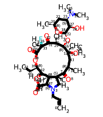 C=CCN1C[C@@]2(C)C(=O)[C@H](C)C[C@](C)(OC)[C@H](O[C@@H]3O[C@H](C)C[C@H](N(C)C)[C@H]3O)[C@@H](C)C(=O)[C@@](C)(F)C(=O)O[C@H](CC)[C@@]3(C)OC(=O)[C@H]1[C@@H]32